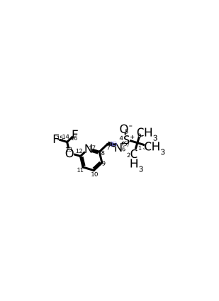 CC(C)(C)[S@@+]([O-])/N=C/c1cccc(OC(F)F)n1